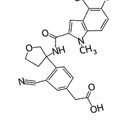 Cn1c(C(=O)NC2(c3ccc(CC(=O)O)cc3C#N)CCOC2)cc2c(Cl)c(Cl)ccc21